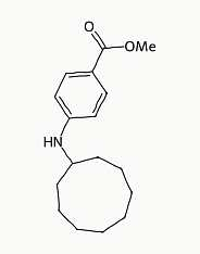 COC(=O)c1ccc(NC2CCCCCCCC2)cc1